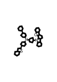 c1ccc(-c2ccc(N(c3ccc(-c4cc5ccccc5s4)cc3)c3ccc(-n4c5ccccc5c5ccc6c7ccccc7oc6c54)cc3)cc2)cc1